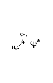 CN(C)C.[Ti][Br]